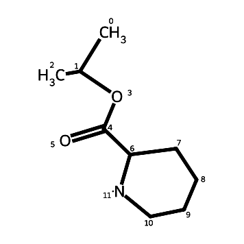 CC(C)OC(=O)C1CCCC[N]1